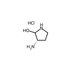 Cl.N[C@H]1CCNC1O